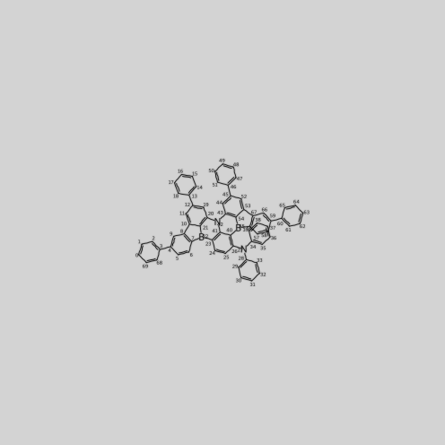 c1ccc(-c2ccc3c(c2)-c2cc(-c4ccccc4)cc4c2B3c2ccc(N(c3ccccc3)c3ccccc3)c3c2N4c2cc(-c4ccccc4)cc4c2B3c2ccc(-c3ccccc3)cc2-4)cc1